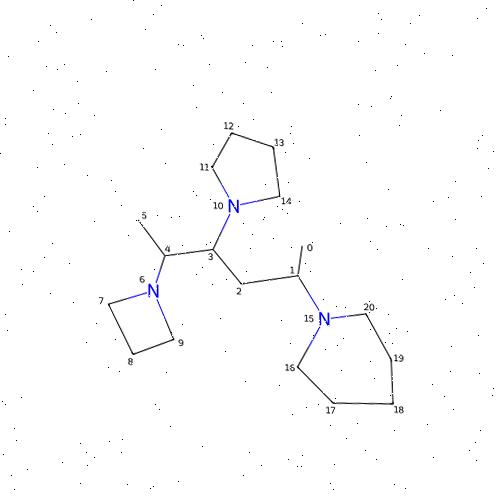 CC(CC(C(C)N1CCC1)N1CCCC1)N1CCCCC1